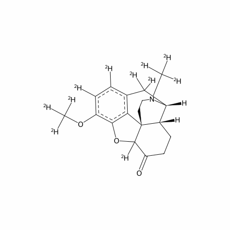 [2H]c1c([2H])c2c3c(c1OC([2H])([2H])[2H])OC1([2H])C(=O)CC[C@H]4[C@H](N(C([2H])([2H])[2H])CC[C@@]341)C2([2H])[2H]